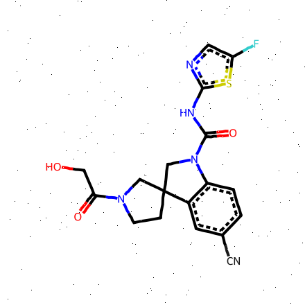 N#Cc1ccc2c(c1)C1(CCN(C(=O)CO)C1)CN2C(=O)Nc1ncc(F)s1